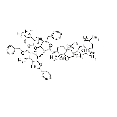 CC(=O)[C@]12CCC(C)(C)CC1C1=CCC3C4(C)CC[C@H](O[C@@H]5OC(Cc6ccccc6)[C@@H](C)[C@H](O[C@@H]6OC[C@@H](C)[C@H](C)C6C)C5O[C@@H]5OC(COCc6ccccc6)[C@H](C)[C@H](C)C5OCc5ccccc5)[C@](C)(C=O)[C@@H]4CCC3(C)[C@]1(C)CC2C